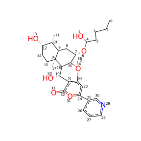 CCCCC(O)O[C@H]1CC2[C@@H](C)[C@@H](O)CC[C@]2(C)C2[C@@H](O)c3c(cc(-c4cccnc4)oc3=O)O[C@@]21C